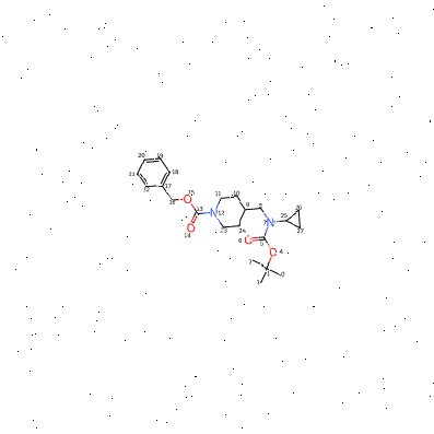 CC(C)(C)OC(=O)N(CC1CCN(C(=O)OCc2ccccc2)CC1)C1CC1